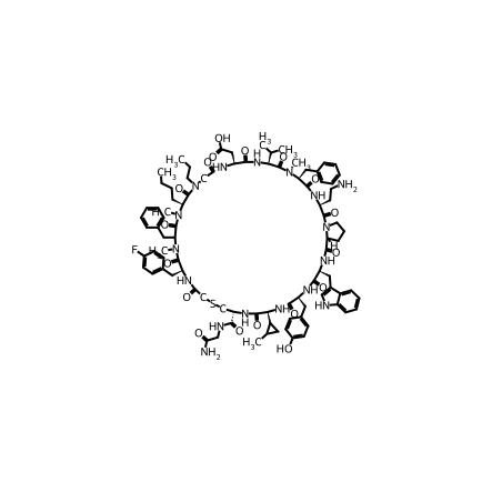 CCCC[C@H]1C(=O)N(CCC)CC(=O)N[C@@H](CC(=O)O)C(=O)N[C@@H](C(C)C)C(=O)N(C)[C@@H](Cc2ccccc2)C(=O)N[C@@H](CCN)C(=O)N2CCC[C@@H]2C(=O)N[C@@H](Cc2c[nH]c3ccccc23)C(=O)N[C@@H](Cc2ccc(O)cc2)C(=O)N[C@@H](C2CC2C)C(=O)N[C@H](C(=O)NCC(N)=O)CSCC(=O)N[C@@H](Cc2ccc(F)cc2)C(=O)N(C)C(Cc2ccccc2)C(=O)N1C